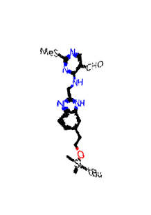 CSc1ncc(C=O)c(NCc2nc3ccc(CCO[Si](C)(C)C(C)(C)C)cc3[nH]2)n1